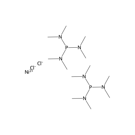 CN(C)P(N(C)C)N(C)C.CN(C)P(N(C)C)N(C)C.[Cl-].[Cl-].[Ni+2]